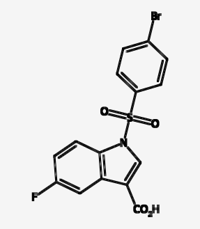 O=C(O)c1cn(S(=O)(=O)c2ccc(Br)cc2)c2ccc(F)cc12